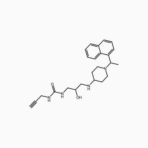 C#CCNC(=O)NCC(O)CNC1CCN(C(C)c2cccc3ccccc23)CC1